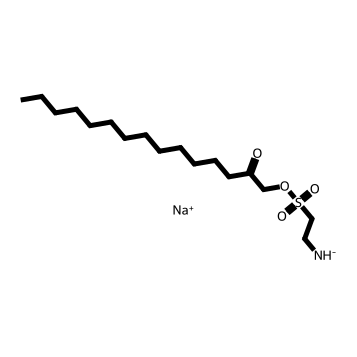 CCCCCCCCCCCCCC(=O)COS(=O)(=O)CC[NH-].[Na+]